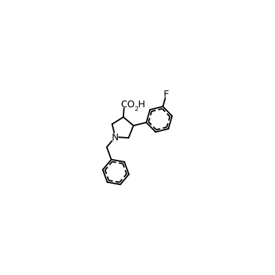 O=C(O)C1CN(Cc2ccccc2)CC1c1cccc(F)c1